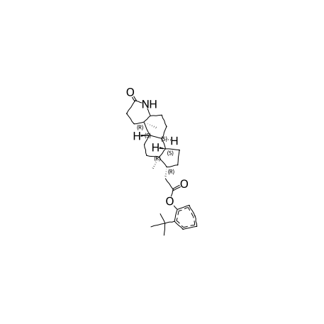 CC(C)(C)c1ccccc1OC(=O)C[C@H]1CC[C@H]2[C@@H]3CCC4NC(=O)CC[C@]4(C)[C@H]3CC[C@]12C